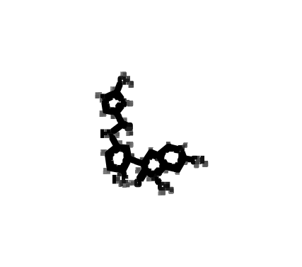 Cc1cc2c(cn1)cc(-c1cc(NC(=O)c3cnc(C)s3)ccc1C)c(=O)n2C